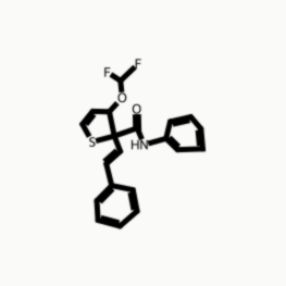 O=C(Nc1ccccc1)C1(C=Cc2ccccc2)SC=CC1OC(F)F